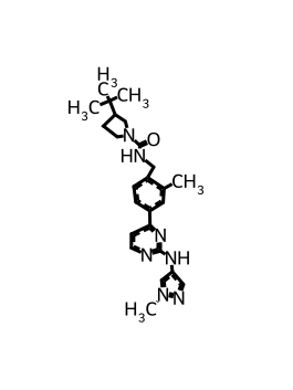 Cc1cc(-c2ccnc(Nc3cnn(C)c3)n2)ccc1CNC(=O)N1CCC(C(C)(C)C)C1